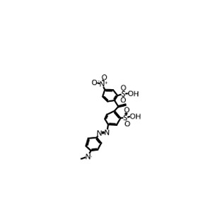 C=C(c1ccc(/N=N/c2ccc([N]C)cc2)cc1S(=O)(=O)O)c1ccc([N+](=O)[O-])cc1S(=O)(=O)O